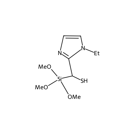 CCn1ccnc1C(S)[Si](OC)(OC)OC